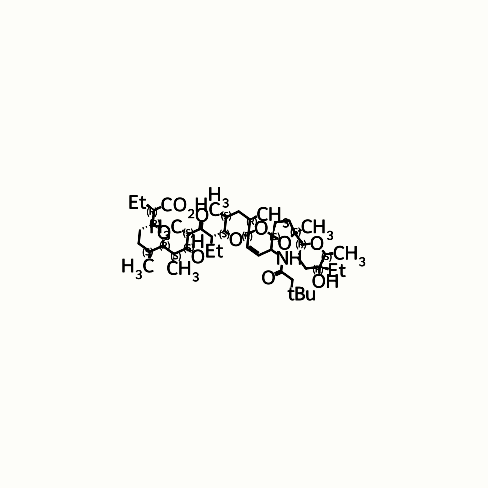 CCC(C(=O)[C@@H](C)[C@@H](O)[C@H](C)[C@@H]1O[C@@H]([C@@H](CC)C(=O)O)CC[C@@H]1C)[C@H]1O[C@]2(C=CC(NC(=O)CC(C)(C)C)[C@]3(CC[C@@](C)([C@H]4CC[C@](O)(CC)[C@H](C)O4)O3)O2)[C@H](C)C[C@@H]1C